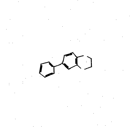 [c]1ccc(-c2ccc3c(c2)OCCO3)cc1